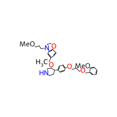 COCCCN1CCOc2ccc([C@@H](C)O[C@H]3CNCC[C@@H]3c3ccc(OCCCOCc4ccccc4OC)cc3)cc21